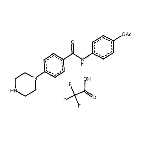 CC(=O)Oc1ccc(NC(=O)c2ccc(N3CCNCC3)cc2)cc1.O=C(O)C(F)(F)F